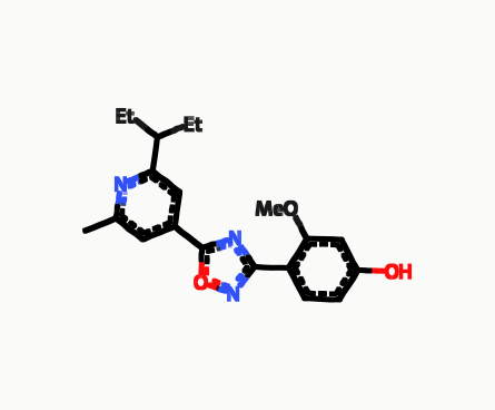 CCC(CC)c1cc(-c2nc(-c3ccc(O)cc3OC)no2)cc(C)n1